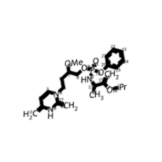 C=C1C=CN(CCC(COP(=O)(NC(C)C(=C)OC(C)C)Oc2ccccc2)OC)C(=C)N1